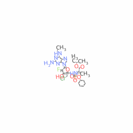 CCNc1nc(N)nc2c1ncn2[C@@H]1O[C@](CCl)(CO[P@](=O)(N[C@@H](C)C(=O)OC(C)C)Oc2ccccc2)[C@@H](O)[C@H]1F